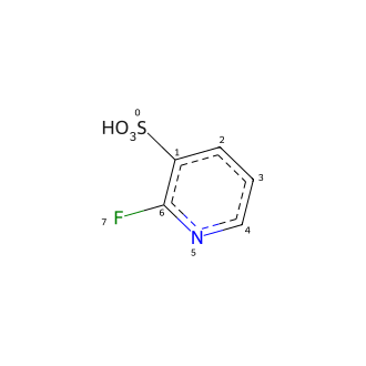 O=S(=O)(O)c1cccnc1F